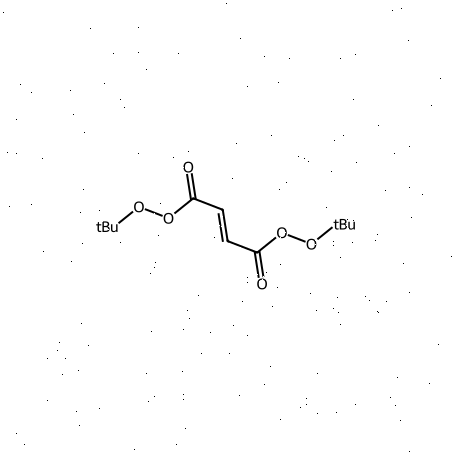 CC(C)(C)OOC(=O)/C=C/C(=O)OOC(C)(C)C